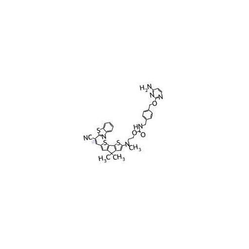 CN(CCOC(=O)NCc1ccc(COc2nccc(N)n2)cc1)c1cc2c(s1)-c1sc(/C=C(/C#N)c3nc4ccccc4s3)cc1C2(C)C